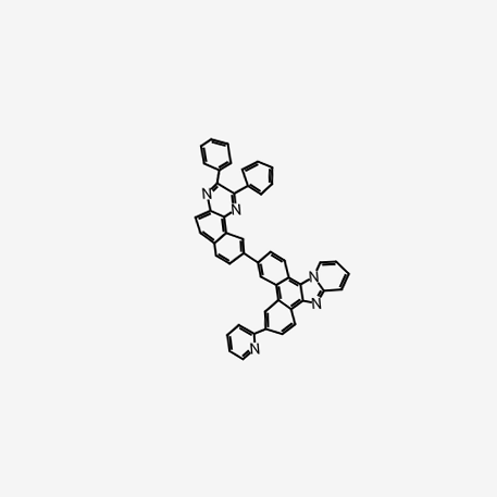 c1ccc(-c2nc3ccc4ccc(-c5ccc6c(c5)c5cc(-c7ccccn7)ccc5c5nc7ccccn7c65)cc4c3nc2-c2ccccc2)cc1